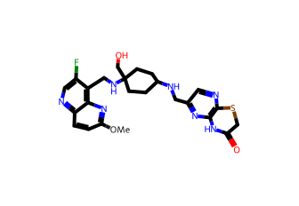 COc1ccc2ncc(F)c(CNC3(CO)CCC(NCc4cnc5c(n4)NC(=O)CS5)CC3)c2n1